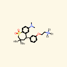 CCCCC1(CCCC)C[C@H](c2cccc(OCC[N+](CC)(CC)CC)c2)c2cc(N(C)C)ccc2S(=O)(=O)C1